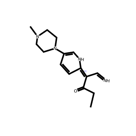 CCC(=O)/C(C=N)=C1\C=CC(N2CCN(C)CC2)=CN1